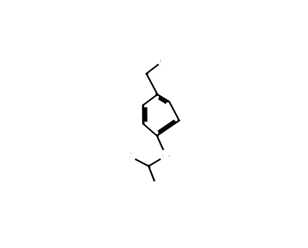 FC(F)Oc1ccc(CCl)cc1